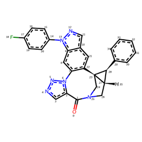 O=C1c2cnnn2-c2cc3c(cnn3-c3ccc(F)cc3)cc2[C@]23CN1C[C@H]2[C@@H]3c1ccccc1